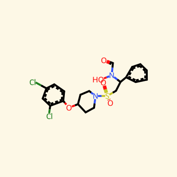 O=CN(O)C(CS(=O)(=O)N1CCC(Oc2ccc(Cl)cc2Cl)CC1)c1ccccc1